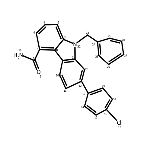 NC(=O)c1cccc2c1c1[c]cc(-c3ccc(Cl)cc3)cc1n2Cc1ccccc1